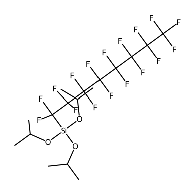 CC(C)O[Si](OC(C)C)(OC(C)C)C(F)(F)C(F)(F)C(F)(F)C(F)(F)C(F)(F)C(F)(F)C(F)(F)C(F)(F)F